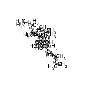 CC(C)CCCC(C)CCCC(C)CCCC(C)CCOC(CC(=O)O)(C(=O)O)C(CCC(C)CCCC(C)CCCC(C)CCCC(C)C)(CCC(C)CCCC(C)CCCC(C)CCCC(C)C)C(=O)O